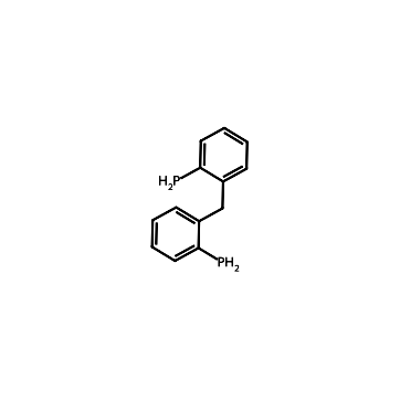 Pc1ccccc1Cc1ccccc1P